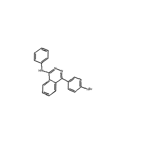 CCCCc1ccc(-c2nnc(Nc3ccccc3)c3ccccc23)cc1